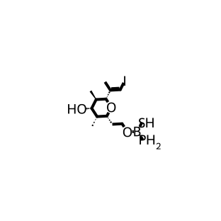 C/C(=C\I)[C@@H]1O[C@H](CCOB(P)S)[C@H](C)[C@H](O)[C@H]1C